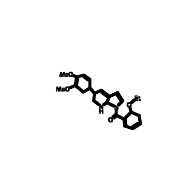 CCOC1CC=CC=C1C(=O)N1C=CC2=CC(C3C=CC(OC)=C(OC)C3)CNC21